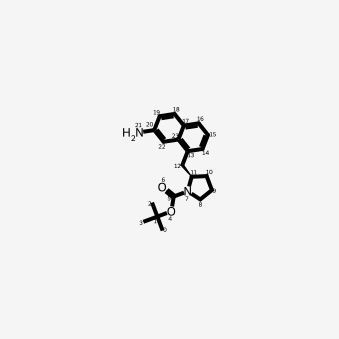 CC(C)(C)OC(=O)N1CCC[C@@H]1Cc1cccc2ccc(N)cc12